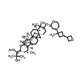 CC(=O)O[C@@H]([C@H]1C[C@@H](C)[C@H]2[C@H](O1)[C@H](O)[C@@]1(C)[C@@H]3CC[C@H]4C(C)(C)[C@@H](O[C@H]5CN(C6(C)CN(C7COC7)C6)CCO5)CC[C@@]45C[C@@]35CC[C@]21C)C(C)(C)O